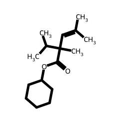 CC(C)=CC(C)(C(=O)OC1CCCCC1)C(C)C